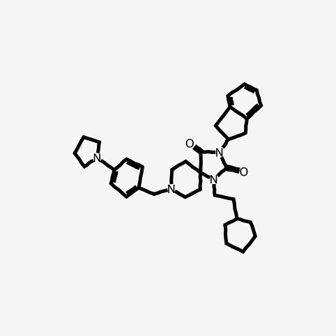 O=C1N(C2Cc3ccccc3C2)C(=O)C2(CCN(Cc3ccc(N4CCCC4)cc3)CC2)N1CCC1CCCCC1